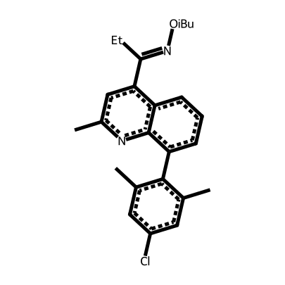 CCC(=NOCC(C)C)c1cc(C)nc2c(-c3c(C)cc(Cl)cc3C)cccc12